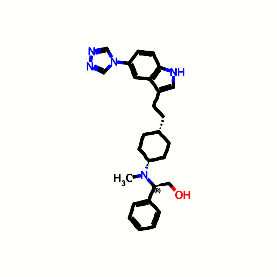 CN([C@H]1CC[C@@H](CCc2c[nH]c3ccc(-n4cnnc4)cc23)CC1)[C@@H](CO)c1ccccc1